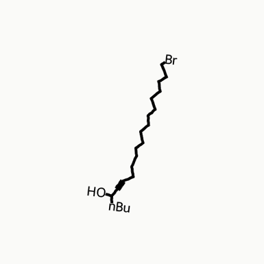 CCCCC(O)C#CCCCCCCCCCCCCCCBr